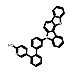 N#Cc1ccc(-c2ccccc2-c2cccc(-n3c4ccccc4c4c5oc6ccccc6c5ccc43)c2)cn1